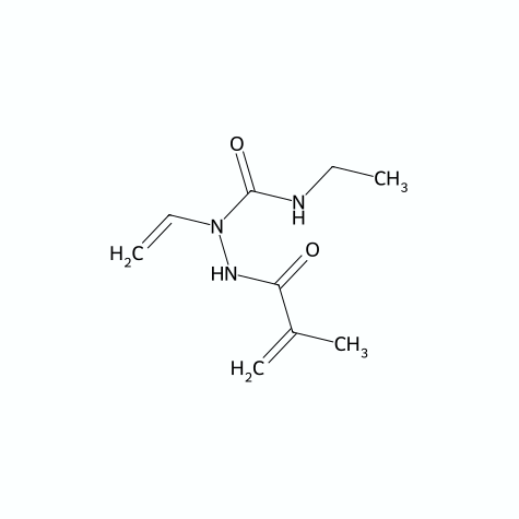 C=CN(NC(=O)C(=C)C)C(=O)NCC